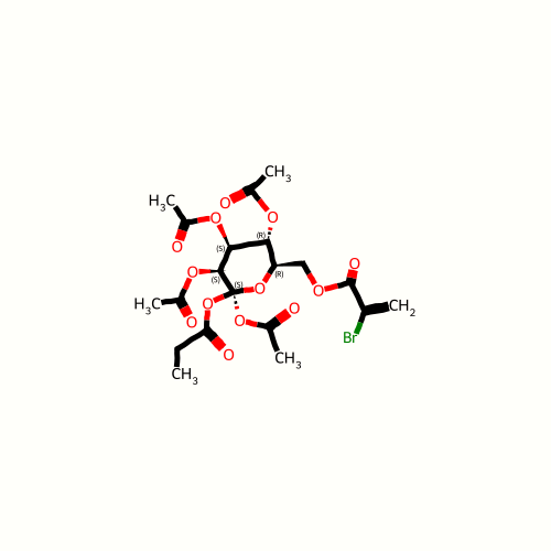 C=C(Br)C(=O)OC[C@H]1O[C@@](OC(C)=O)(OC(=O)CC)[C@@H](OC(C)=O)[C@@H](OC(C)=O)[C@@H]1OC(C)=O